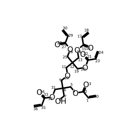 C=CC(=O)OCC(CO)(COCC(COC(=O)C=C)(COC(=O)C=C)COC(=O)C=C)COC(=O)C=C